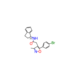 Cc1noc(-c2ccc(Br)cc2)c1CC(=O)N[C@H]1CCc2ccccc21